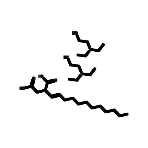 CCCCCCCCCCC=CC(CC(=O)O)C(=O)O.CCN(CC)CCO.CCN(CC)CCO